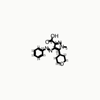 Cn1nc(C(=O)O)c(N=Nc2ccccc2)c1C1CCOCC1